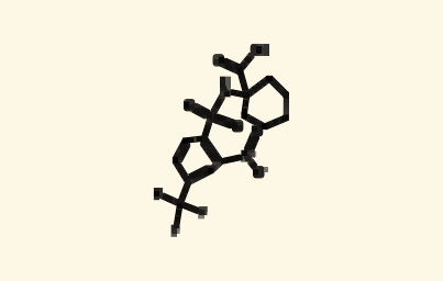 O=C(O)C1(NS(=O)(=O)c2ccc(C(F)(F)F)cc2[N+](=O)[O-])CCCCC1